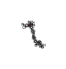 N#Cc1ccc(OC2C[C@H]3CC[C@@H](C2)N3C(=O)c2ccc(N3CCN(CCN4CCN(c5ccc6c(c5)C(=O)N(C5CCC(=O)NC5=O)C6=O)CC4)CC3)cc2)cc1Cl